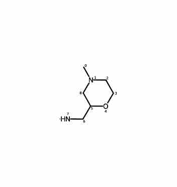 CN1CCOC(C[NH])C1